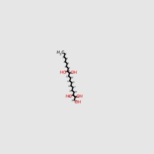 CCCCCCCCC(O)C(O)CCCCCCCCC(O)C(O)CO